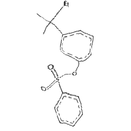 CCC(C)(C)c1cccc(OS(=O)(=O)c2ccccc2)c1